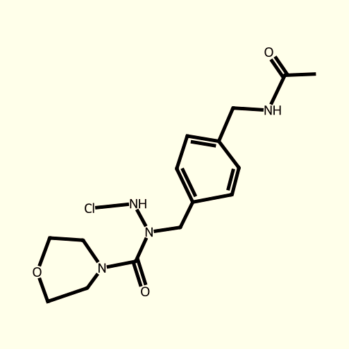 CC(=O)NCc1ccc(CN(NCl)C(=O)N2CCOCC2)cc1